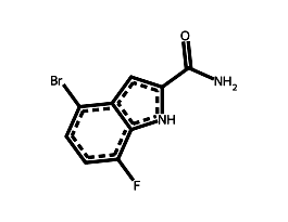 NC(=O)c1cc2c(Br)ccc(F)c2[nH]1